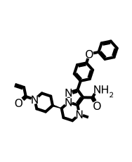 C=CC(=O)N1CCC([C@@H]2CCN(C)c3c(C(N)=O)c(-c4ccc(Oc5ccccc5)cc4)nn32)CC1